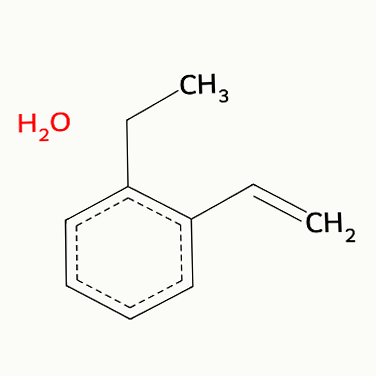 C=Cc1ccccc1CC.O